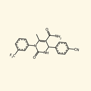 CC1=C(C(N)=O)C(c2ccc(C#N)cc2)NC(=O)N1c1cccc(C(F)(F)F)c1